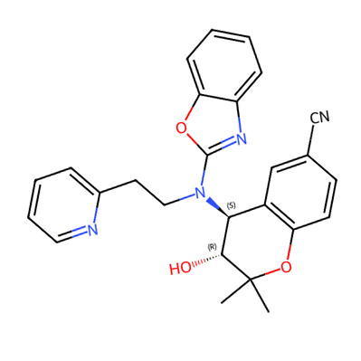 CC1(C)Oc2ccc(C#N)cc2[C@H](N(CCc2ccccn2)c2nc3ccccc3o2)[C@H]1O